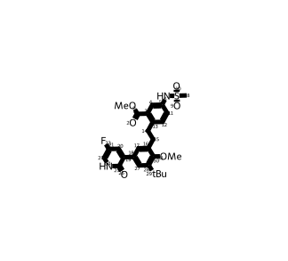 COC(=O)c1cc(NS(C)(=O)=O)ccc1CCc1cc(-c2cc(F)c[nH]c2=O)cc(C(C)(C)C)c1OC